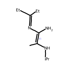 CCC(CC)=N/C(N)=C(\C)NC(C)C